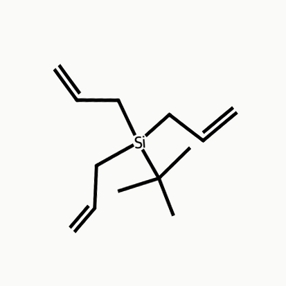 C=CC[Si](CC=C)(CC=C)C(C)(C)C